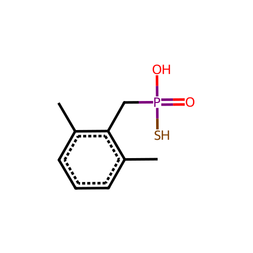 Cc1cccc(C)c1CP(=O)(O)S